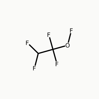 FOC(F)(F)C(F)F